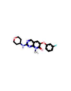 Cn1c(=O)c(Oc2cccc(F)c2)cc2cnc(NC3CCOCC3)nc21